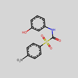 O=C(Nc1cccc(O)c1)S(=O)(=O)c1ccc([N+](=O)[O-])cc1